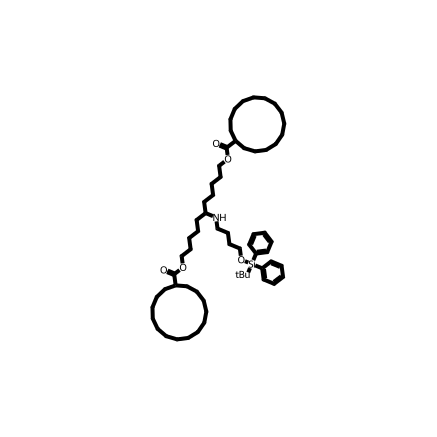 CC(C)(C)[Si](OCCCCNC(CCCCCOC(=O)C1CCCCCCCCCCCCCC1)CCCCCOC(=O)C1CCCCCCCCCCCCCC1)(c1ccccc1)c1ccccc1